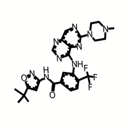 CN1CCN(c2ncc3ncnc(Nc4cc(C(=O)Nc5cc(C(C)(C)C)on5)ccc4C(F)(F)F)c3n2)CC1